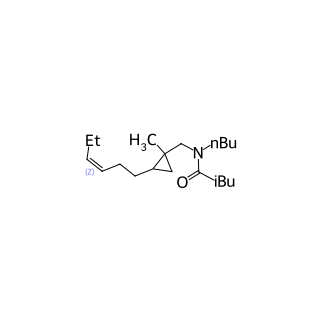 CC/C=C\CCC1CC1(C)CN(CCCC)C(=O)C(C)CC